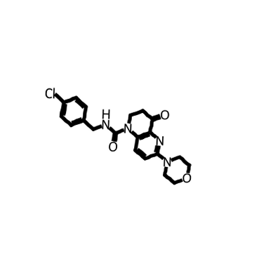 O=C1CCN(C(=O)NCc2ccc(Cl)cc2)c2ccc(N3CCOCC3)nc21